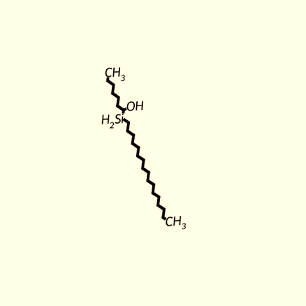 CCCCCCCCCCCCCCCCC[SiH2]C(O)CCCCCC